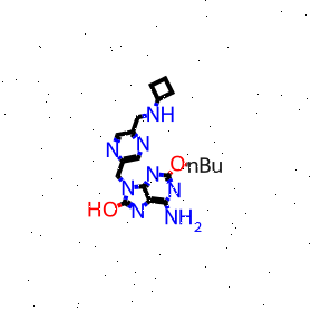 CCCCOc1nc(N)c2nc(O)n(Cc3cnc(CNC4CCC4)cn3)c2n1